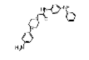 Nc1ccc(N2CCN(CC(=O)Nc3ccc(Nc4ccccc4)cc3)CC2)cc1